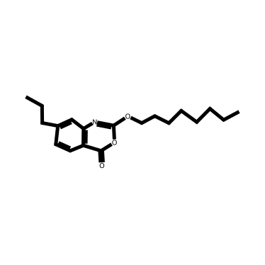 CCCCCCCCOc1nc2cc(CCC)ccc2c(=O)o1